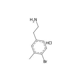 Cc1cc(CCN)ccc1Br.Cl